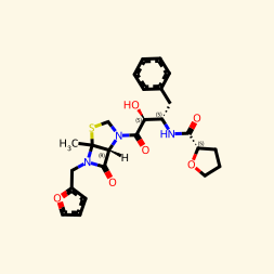 CC12SCN(C(=O)[C@@H](O)[C@H](Cc3ccccc3)NC(=O)[C@@H]3CCCO3)[C@@H]1C(=O)N2Cc1ccco1